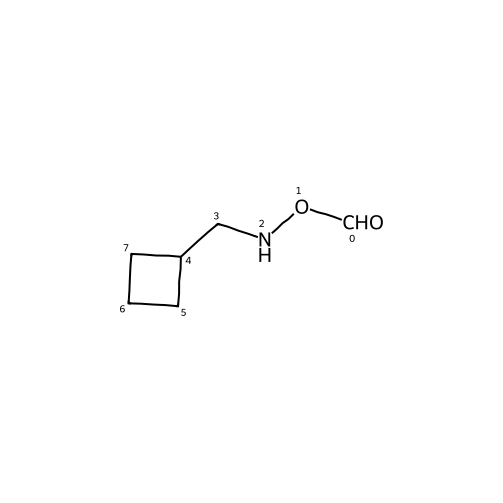 O=CONCC1CCC1